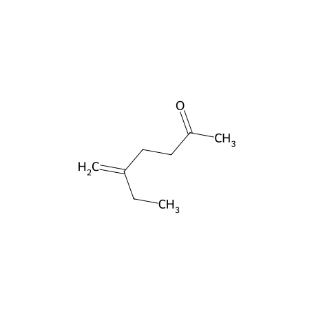 C=C(CC)CCC(C)=O